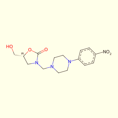 O=C1O[C@@H](CO)CN1CN1CCN(c2ccc([N+](=O)[O-])cc2)CC1